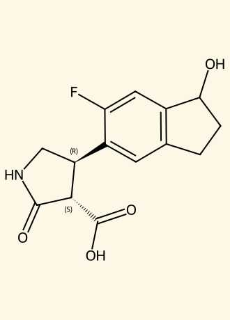 O=C(O)[C@@H]1C(=O)NC[C@H]1c1cc2c(cc1F)C(O)CC2